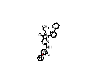 C=CCn1c(=O)c2cnc(Nc3ccc(N4C5CC4CN(C)C5)cc3)nc2n1-c1cccc(-c2cnccn2)n1